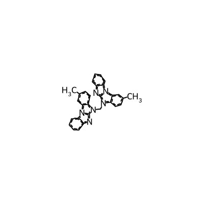 Cc1ccc2c(c1)n1c3ccccc3nc1n2Cn1c2ccc(C)cc2n2c3ccccc3nc12